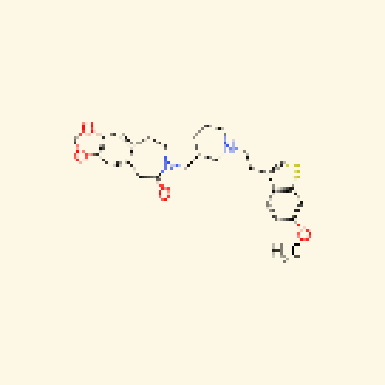 COc1ccc2c(CCN3CCCC(CN4CCc5cc6c(cc5CC4=O)OCO6)C3)csc2c1